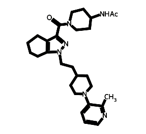 CC(=O)NC1CCN(C(=O)c2nn(CCC3CCN(c4cccnc4C)CC3)c3c2CCCC3)CC1